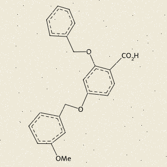 COc1cccc(COc2ccc(C(=O)O)c(OCc3ccccc3)c2)c1